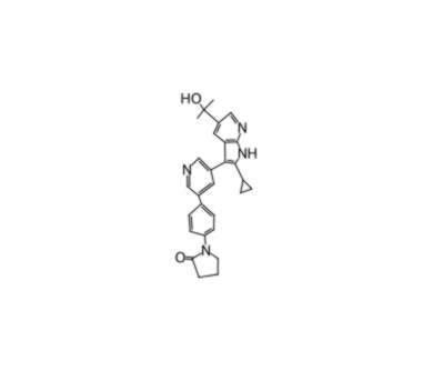 CC(C)(O)c1cnc2[nH]c(C3CC3)c(-c3cncc(-c4ccc(N5CCCC5=O)cc4)c3)c2c1